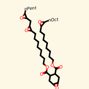 CCCCCCCCC1OC1CCCCCCCCOC(=O)C1CC2OC2CC1C(=O)OCCCCCCCCC1OC1CC1OC1CCCCC